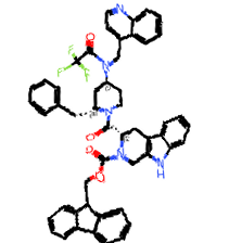 O=C([C@@H]1Cc2c([nH]c3ccccc23)CN1C(=O)OCC1c2ccccc2-c2ccccc21)N1CC[C@H](N(Cc2ccnc3ccccc23)C(=O)C(F)(F)F)C[C@H]1Cc1ccccc1